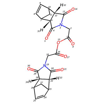 O=C(CN1C(=O)[C@@H]2C3C=CC(C3)[C@@H]2C1=O)OC(=O)CN1C(=O)[C@@H]2C3C=CC(C3)[C@@H]2C1=O